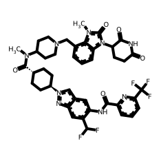 CN(C(=O)[C@H]1CC[C@H](n2cc3cc(NC(=O)c4cccc(C(F)(F)F)n4)c(C(F)F)cc3n2)CC1)C1CCN(Cc2cccc3c2n(C)c(=O)n3C2CCC(=O)NC2=O)CC1